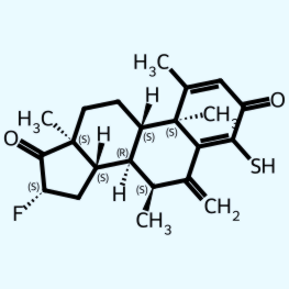 C=C1C2=C(S)C(=O)C=C(C)[C@]2(C)[C@H]2CC[C@]3(C)C(=O)[C@@H](F)C[C@H]3[C@@H]2[C@@H]1C